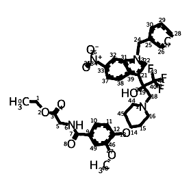 CCOC(=O)CNC(=O)c1ccc(OC2CCN(CC(O)(c3cn(Cc4ccccc4)c4cc([N+](=O)[O-])ccc34)C(F)(F)F)CC2)c(OC)c1